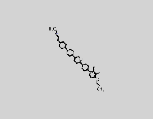 C/C=C/CCC1CCC(C2CCC(C3CCC(C4CCC(c5ccc(OCCC)c(F)c5F)CC4)OC3)CC2)CC1